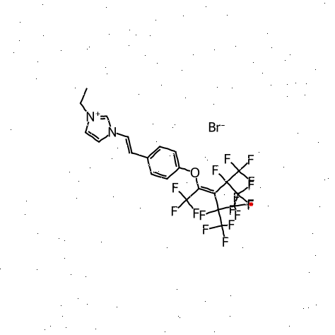 CC[n+]1ccn(C=Cc2ccc(OC(=C(C(F)(C(F)(F)F)C(F)(F)F)C(F)(C(F)(F)F)C(F)(F)F)C(F)(F)F)cc2)c1.[Br-]